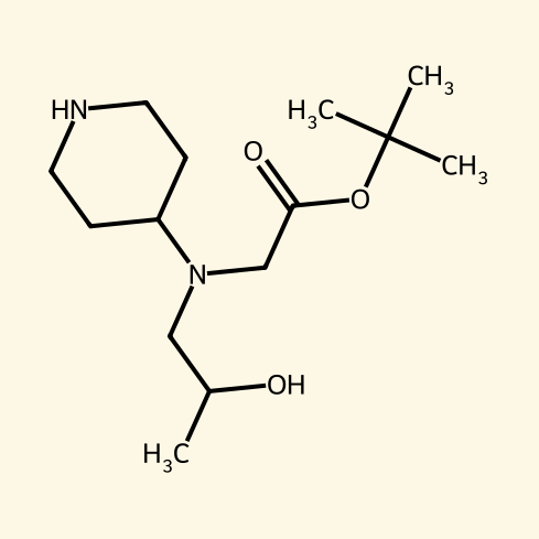 CC(O)CN(CC(=O)OC(C)(C)C)C1CCNCC1